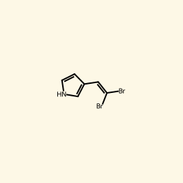 BrC(Br)=Cc1cc[nH]c1